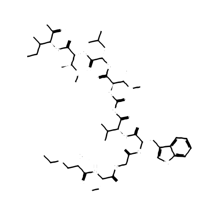 CCSC[C@H](N)C(=O)N[C@@H](CO)C(=O)NCC(=O)N[C@@H](Cc1c[nH]c2ccccc12)C(=O)N[C@H](C(=O)NC(=O)N[C@@H](C(=O)N[C@@H](CC(C)C)C(=O)N[C@@H](C(=O)N[C@H](C(C)=O)C(C)CC)[C@H](C)SC)[C@H](C)SC)C(C)C